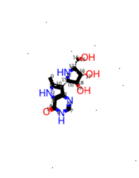 Cc1[nH]c2c(=O)[nH]cnc2c1[C@@H]1N[C@H](CO)[C@H](O)C1O